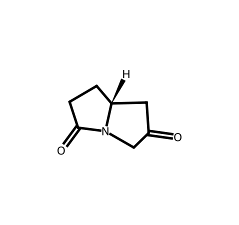 O=C1C[C@H]2CCC(=O)N2C1